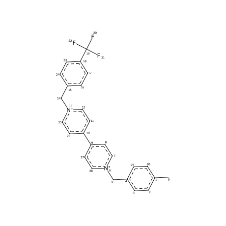 Cc1ccc(C[n+]2ccc(-c3cc[n+](Cc4ccc(C(F)(F)F)cc4)cc3)cc2)cc1